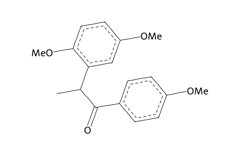 COc1ccc(C(=O)C(C)c2cc(OC)ccc2OC)cc1